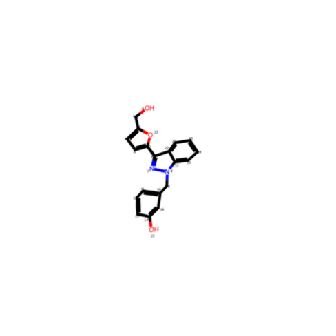 OCc1ccc(-c2nn(Cc3cccc(O)c3)c3ccccc23)o1